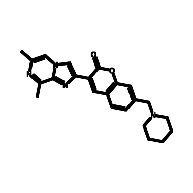 Cc1cn2cc(-c3cc4ccc(CN5CCCCC5)cc4oc3=O)nc2c(C)n1